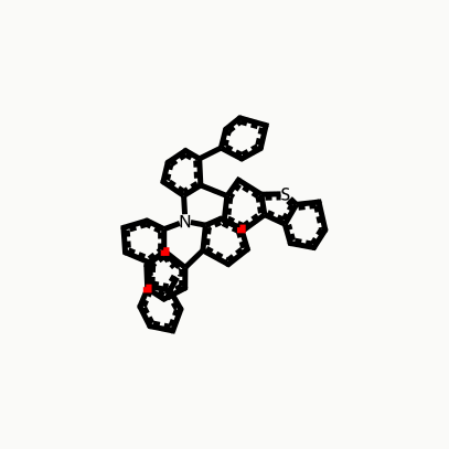 c1ccc(-c2ccccc2N(c2cccc(-c3ccccc3)c2-c2ccc3c(c2)sc2ccccc23)c2cccc3c2sc2ccccc23)cc1